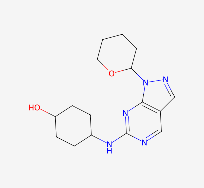 OC1CCC(Nc2ncc3cnn(C4CCCCO4)c3n2)CC1